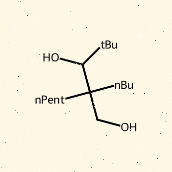 CCCCCC(CO)(CCCC)C(O)C(C)(C)C